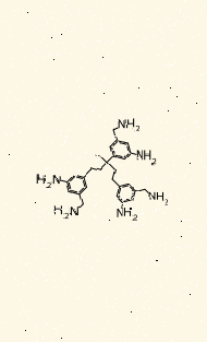 [CH2]C(CCc1cc(N)cc(CN)c1)(CCc1cc(N)cc(CN)c1)c1cc(N)cc(CN)c1